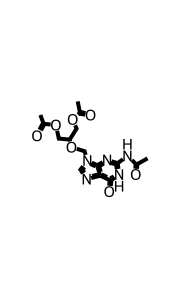 CC(=O)Nc1nc2c(ncn2COC(COC(C)=O)COC(C)=O)c(=O)[nH]1